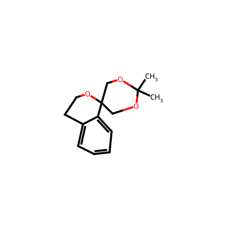 CC1(C)OCC2(CO1)OCCc1ccccc12